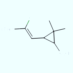 CCCCCC(Cl)=CC1C(C(=O)O)C1(C)C